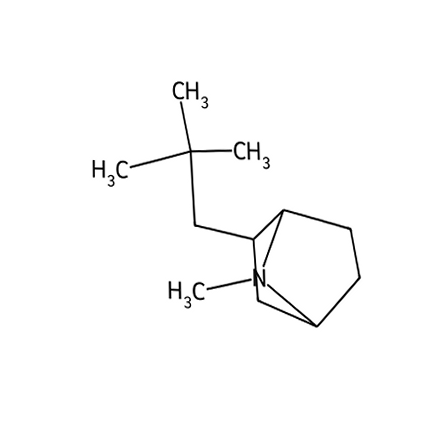 CN1C2CCC1C(CC(C)(C)C)C2